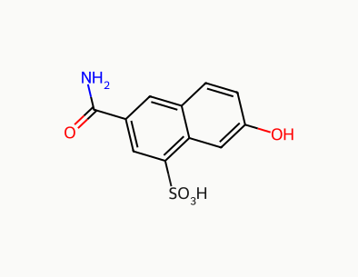 NC(=O)c1cc(S(=O)(=O)O)c2cc(O)ccc2c1